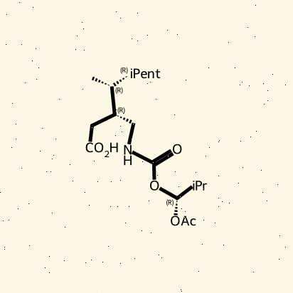 CCC[C@@H](C)[C@@H](C)[C@H](CNC(=O)O[C@@H](OC(C)=O)C(C)C)CC(=O)O